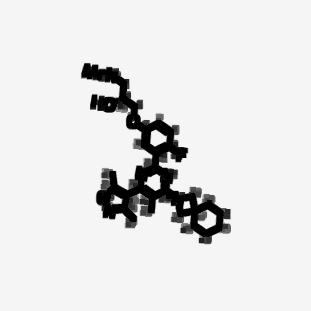 CNC[C@@H](O)COc1ccc(F)c(-c2nc(-c3c(C)noc3C)c(C)c(N3CC4(CCCCC4)C3)n2)c1